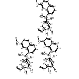 C=C[C@H]1C[N@]2CC[C@H]1C[C@@H]2[C@@H](O)c1ccnc2ccc(OC)cc12.C=C[C@H]1C[N@]2CC[C@H]1C[C@@H]2[C@@H](O)c1ccnc2ccc(OC)cc12.C=C[C@H]1C[N@]2CC[C@H]1C[C@@H]2[C@@H](O)c1ccnc2ccc(OC)cc12